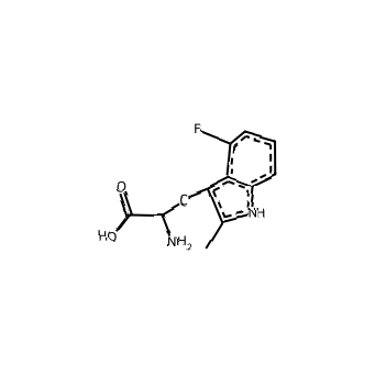 Cc1[nH]c2cccc(F)c2c1CC(N)C(=O)O